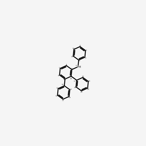 c1ccc(Pc2cccc(-c3ccccc3)c2-c2ccccc2)cc1